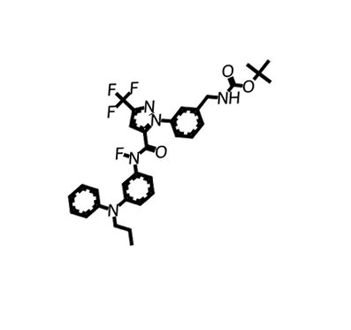 CCCN(c1ccccc1)c1cccc(N(F)C(=O)c2cc(C(F)(F)F)nn2-c2cccc(CNC(=O)OC(C)(C)C)c2)c1